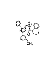 CCc1cccc(-c2nc(-c3ccccc3)n(CC)c2C(=O)NC2CCCCc3ccccc32)c1